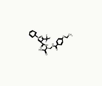 CCOc1ccc(C(=O)NC[C@H](NC(=O)c2cn(-c3ccccc3)nc2C(F)(F)F)C(=O)O)cc1